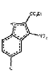 CCOC(=O)c1[nH]c2ccc(Cl)cc2c1[N+](=O)[O-]